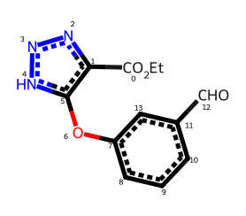 CCOC(=O)c1nn[nH]c1Oc1cccc(C=O)c1